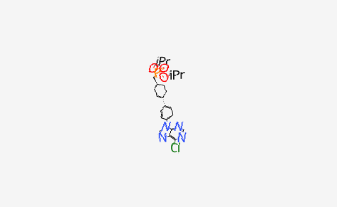 CC(C)OP(=O)(C[C@H]1CC[C@H](c2ccc(-n3cnc4c(Cl)ncnc43)cc2)CC1)OC(C)C